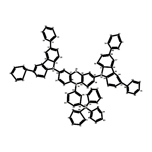 c1ccc(-c2ccc3c(c2)c2cc(-c4ccccc4)ccc2n3-c2ccc3c(c2)Sc2cc(-n4c5ccc(-c6ccccc6)cc5c5cc(-c6ccccc6)ccc54)ccc2N3c2cccc([Si](c3ccccc3)(c3ccccc3)c3ccccc3)c2)cc1